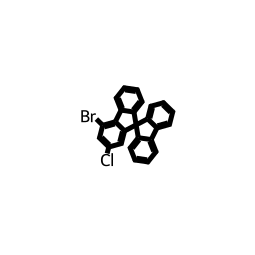 Clc1cc(Br)c2c(c1)C1(c3ccccc3-c3ccccc31)c1ccccc1-2